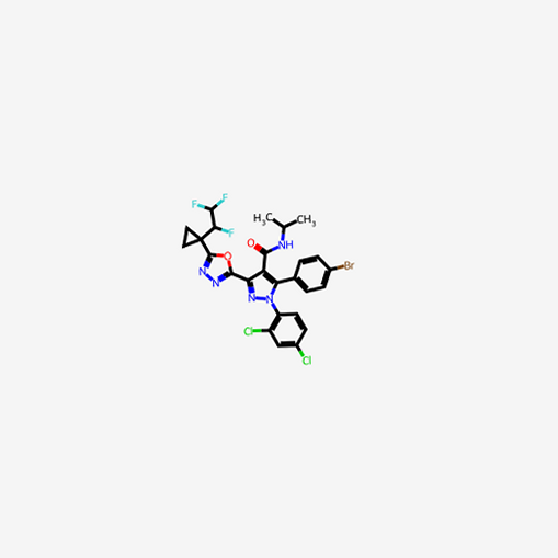 CC(C)NC(=O)c1c(-c2nnc(C3(C(F)C(F)F)CC3)o2)nn(-c2ccc(Cl)cc2Cl)c1-c1ccc(Br)cc1